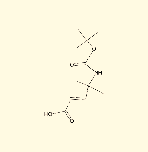 CC(C)(/C=C/C(=O)O)NC(=O)OC(C)(C)C